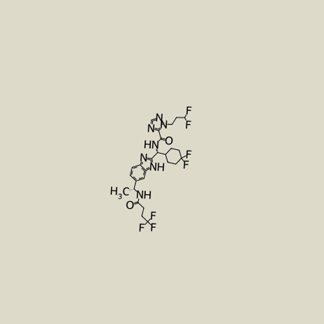 C[C@@H](NC(=O)CCC(F)(F)F)c1ccc2nc([C@@H](NC(=O)c3ncnn3CCC(F)F)C3CCC(F)(F)CC3)[nH]c2c1